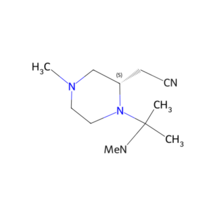 CNC(C)(C)N1CCN(C)C[C@@H]1CC#N